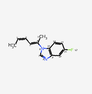 C/C=C\C=C(/C)n1cnc2cc(F)ccc21